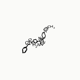 CN1CCN(C2CCC(n3nc(-c4ccc(N5CC(c6ccccc6)OC5=O)cc4)c4c(N)ncnc43)CC2)CC1